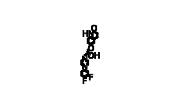 O=C1CCc2cc(OC[C@H](O)CN3CCN(c4ccc(F)c(F)c4)CC3)ccc2N1